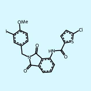 COc1ccc(CN2C(=O)c3cccc(NC(=O)c4ccc(Cl)s4)c3C2=O)cc1I